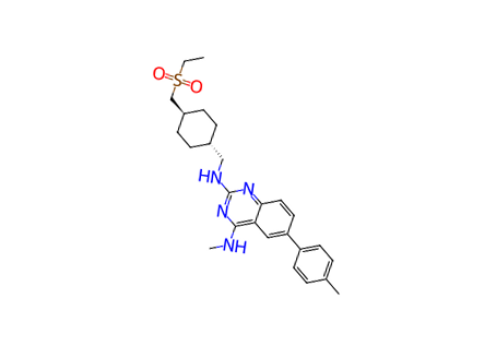 CCS(=O)(=O)C[C@H]1CC[C@H](CNc2nc(NC)c3cc(-c4ccc(C)cc4)ccc3n2)CC1